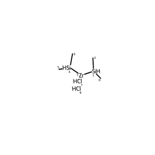 C[SiH](C)[Zr][SiH](C)C.Cl.Cl